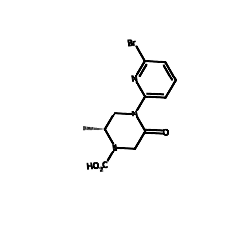 C[C@@H]1CN(c2cccc(Br)n2)C(=O)CN1C(=O)O